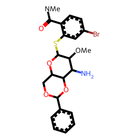 CNC(=O)c1ccc(Br)cc1SC1OC2COC(c3ccccc3)OC2C(N)C1OC